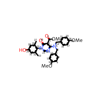 COC(=O)c1c(N(Cc2ccc(OC)cc2)Cc2ccc(OC)cc2)ncn(-c2c(C)cc(O)cc2C)c1=O